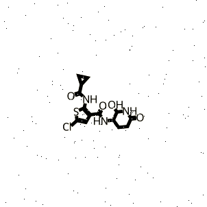 O=C1CCC(NC(=O)c2cc(Cl)sc2NC(=O)C2CC2)C(O)N1